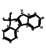 CC1(C)c2ccccc2-c2c1sc1ccccc21